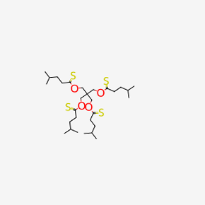 CC(C)CCC(=S)OCC(COC(=S)CCC(C)C)(COC(=S)CCC(C)C)COC(=S)CCC(C)C